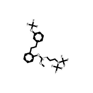 CO[C@@H](CCCN(C(F)(F)F)C(F)(F)F)Oc1ccccc1CCc1cccc(OC(F)(F)F)c1